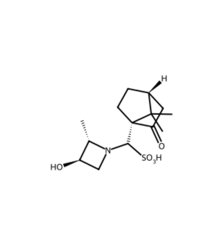 C[C@H]1[C@H](O)CN1C([C@@]12CC[C@H](CC1=O)C2(C)C)S(=O)(=O)O